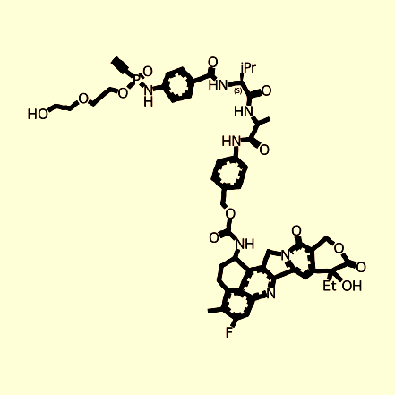 C#CP(=O)(Nc1ccc(C(=O)N[C@H](C(=O)NC(C)C(=O)Nc2ccc(COC(=O)NC3CCc4c(C)c(F)cc5nc6c(c3c45)Cn3c-6cc4c(c3=O)COC(=O)C4(O)CC)cc2)C(C)C)cc1)OCCOCCO